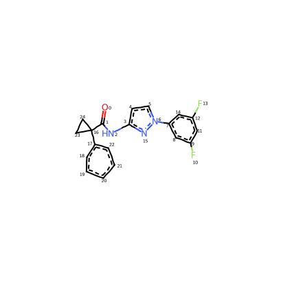 O=C(Nc1ccn(-c2cc(F)cc(F)c2)n1)C1(c2ccccc2)CC1